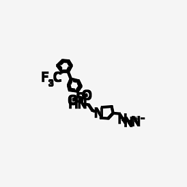 [N-]=[N+]=NCC1CCN(CCNS(=O)(=O)c2ccc(-c3ccccc3C(F)(F)F)cc2)CC1